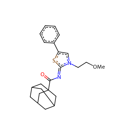 COCCn1cc(-c2ccccc2)sc1=NC(=O)C12CC3CC(CC(C3)C1)C2